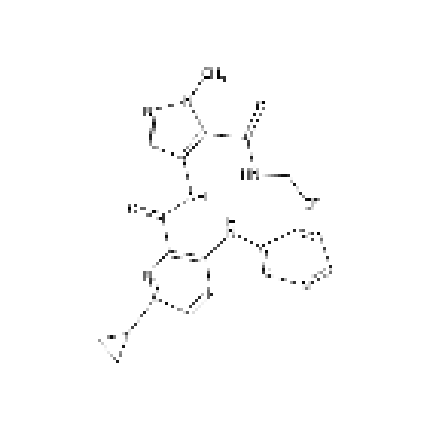 Cn1ncc(NC(=O)c2nc(C3CC3)cnc2Nc2cncnc2)c1C(=O)NCC(F)(F)F